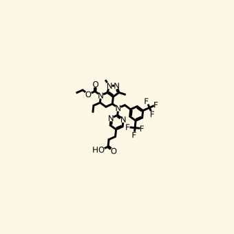 CCOC(=O)N1c2c(c(C)nn2C)C(N(Cc2cc(C(F)(F)F)cc(C(F)(F)F)c2)c2ncc(CCC(=O)O)cn2)CC1CC